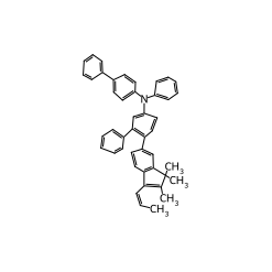 C/C=C\C1=C(C)C(C)(C)c2cc(-c3ccc(N(c4ccccc4)c4ccc(-c5ccccc5)cc4)cc3-c3ccccc3)ccc21